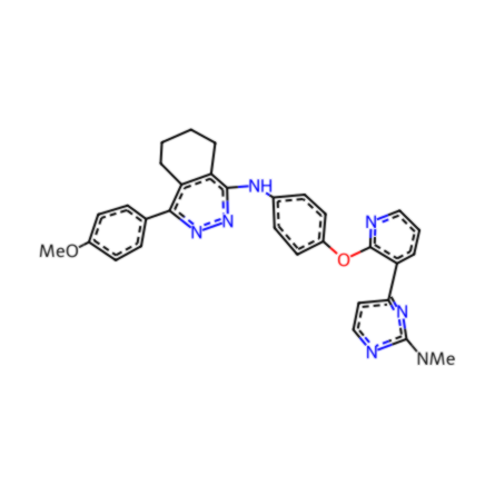 CNc1nccc(-c2cccnc2Oc2ccc(Nc3nnc(-c4ccc(OC)cc4)c4c3CCCC4)cc2)n1